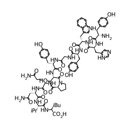 CC[C@H](C)[C@H](NC(=O)[C@@H](NC(=O)[C@H](CC(N)=O)NC(=O)[C@H](CCC(N)=O)NC(=O)[C@@H]1CCCN1C(=O)[C@@H](NC(=O)[C@H](Cc1ccc(O)cc1)NC(=O)CNC(=O)[C@H](Cc1ccc(O)cc1)NC(=O)[C@H](Cc1c[nH]c2ccccc12)NC(=O)[C@H](Cc1cnc[nH]1)NC(=O)[C@@H](N)Cc1ccc(O)cc1)[C@@H](C)O)C(C)C)C(=O)O